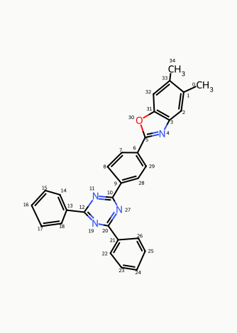 Cc1cc2nc(-c3ccc(-c4nc(-c5ccccc5)nc(-c5ccccc5)n4)cc3)oc2cc1C